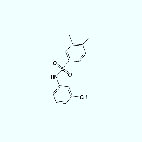 Cc1ccc(S(=O)(=O)Nc2cccc(O)c2)cc1C